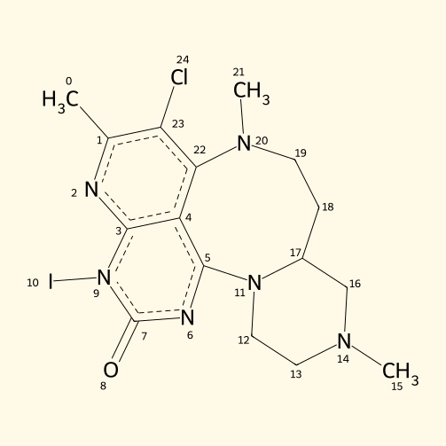 Cc1nc2c3c(nc(=O)n2I)N2CCN(C)CC2CCN(C)c3c1Cl